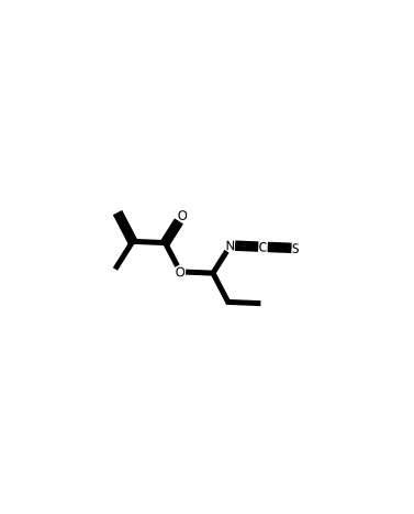 C=C(C)C(=O)OC(CC)N=C=S